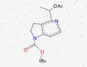 CC(=O)OC(C)c1nccc2c1CCN2C(=O)OC(C)(C)C